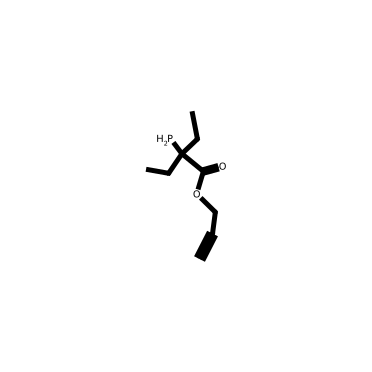 C#CCOC(=O)C(P)(CC)CC